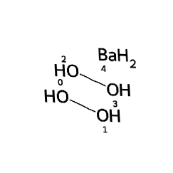 OO.OO.[BaH2]